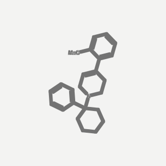 COc1ccccc1C1=CCN(C2(c3ccccc3)CCCCC2)CC1